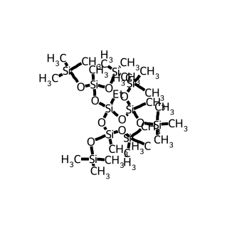 [CH2]C[Si](O[Si](C)(O[Si](C)(C)C)O[Si](C)(C)C)(O[Si](C)(O[Si](C)(C)C)O[Si](C)(C)C)O[Si](C)(O[Si](C)(C)C)O[Si](C)(C)C